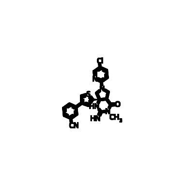 CN1C(=N)N[C@@]2(c3cc(-c4cccc(C#N)c4)cs3)CN(c3ccc(Cl)cn3)CC2C1=O